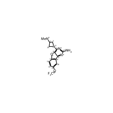 CNC1CN(c2nc(N)nc3c2oc2ccc(OC(F)(F)F)cc23)C1